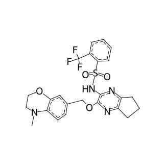 CN1CCOc2cc(COc3nc4c(nc3NS(=O)(=O)c3ccccc3C(F)(F)F)CCC4)ccc21